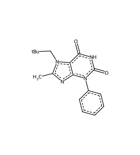 Cc1nc2c(c(=O)[nH]c(=O)n2-c2ccccc2)n1CC(C)(C)C